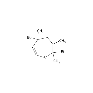 CCC1(C)C=CSC(C)(CC)C(C)C1